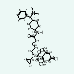 CN(C)C(c1ccccc1)C1CCC(NC(=O)COCCN(C2CC2)S(=O)(=O)c2c(Cl)cc(Cl)cc2Cl)CC1